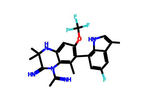 CC(=N)N1C(=N)C(C)(C)Nc2cc(OC(F)(F)F)c(-c3cc(F)cc4c(C)c[nH]c34)c(C)c21